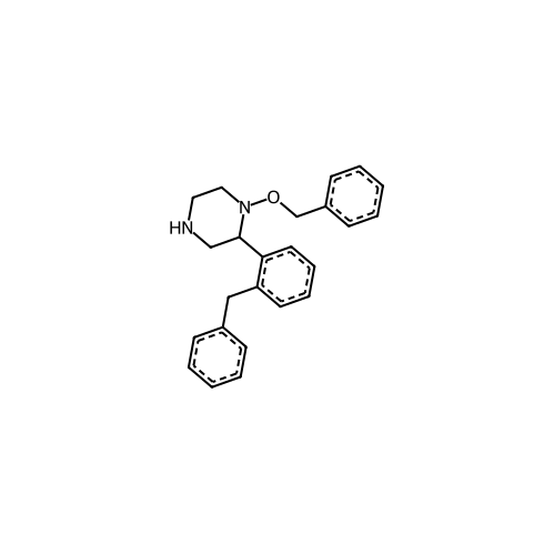 c1ccc(CON2CCNCC2c2ccccc2Cc2ccccc2)cc1